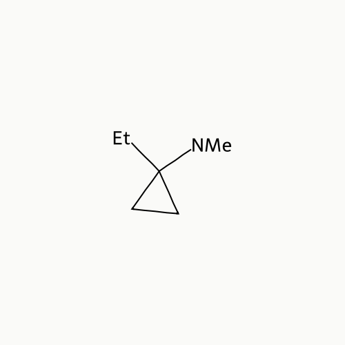 CCC1(NC)CC1